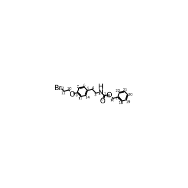 O=C(NCCc1ccc(OCCBr)cc1)OCc1ccccc1